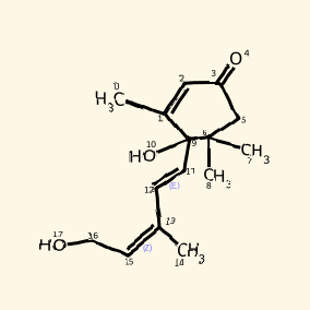 CC1=CC(=O)CC(C)(C)C1(O)/C=C/C(C)=C\CO